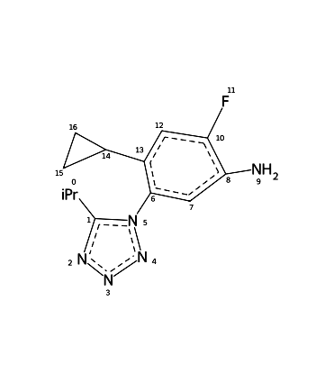 CC(C)c1nnnn1-c1cc(N)c(F)cc1C1CC1